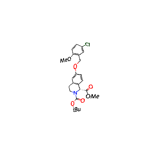 COC(=O)[C@H]1c2ccc(OCc3cc(Cl)ccc3OC)cc2CCN1C(=O)OC(C)(C)C